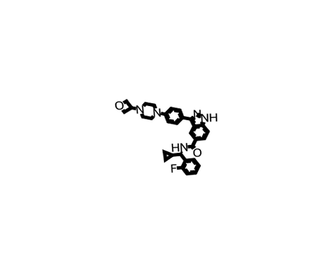 O=C(N[C@@H](c1ccccc1F)C1CC1)c1ccc2[nH]nc(-c3ccc(N4CCN(C5COC5)CC4)cc3)c2c1